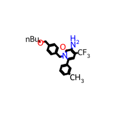 CCCCOCc1ccc(Cn2c(-c3cccc(C)c3)cc(C(F)(F)F)c(N)c2=O)cc1